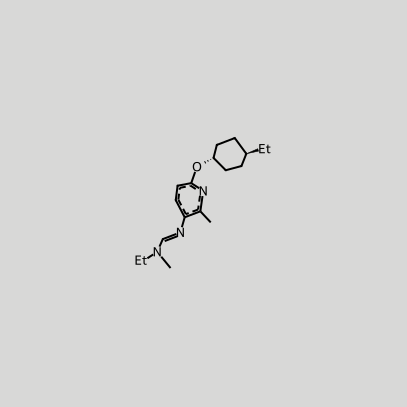 CCN(C)/C=N/c1ccc(O[C@H]2CC[C@H](CC)CC2)nc1C